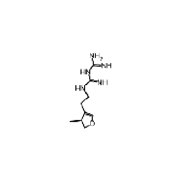 CC1COC=C1CCNC(=N)NC(=N)N